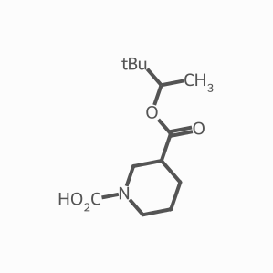 CC(OC(=O)C1CCCN(C(=O)O)C1)C(C)(C)C